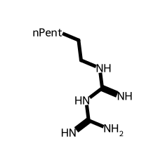 CCCCCCCNC(=N)NC(=N)N